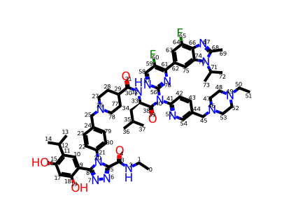 CCNC(=O)c1nnc(-c2cc(C(C)C)c(O)cc2O)n1-c1ccc(CN2CCC(C(=O)N[C@H](CC(C)C)C(=O)N(c3ccc(CN4CCN(CC)CC4)cn3)c3ncc(F)c(-c4cc(F)c5nc(C)n(C(C)C)c5c4)n3)CC2)cc1